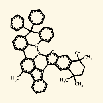 Cc1cc2c3c4c1c1ccccc1n4-c1c(oc4cc5c(cc14)C(C)(C)CCC5(C)C)B3N1c3ccccc3C(c3ccccc3)(c3ccccc3)c3cccc-2c31